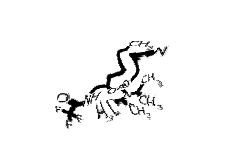 CCCCCC(CNC(=O)C(F)(F)F)OP(OCCC#N)N(C(C)C)C(C)C